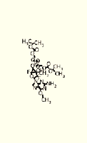 CCOc1nc(N)nc2c1ncn2C1O[C@]2(F)C(OP(=O)(OCOC(=O)OC(C)C)OCOC(=O)OC(C)C)[C@]2(O)[C@@]1(C)F